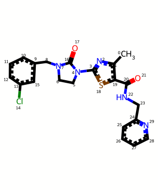 Cc1nc(N2CCN(Cc3cccc(Cl)c3)C2=O)sc1C(=O)NCc1ccccn1